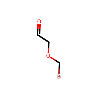 O=[C]COCBr